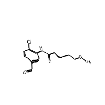 COCCCCC(=O)Nc1cc(C=O)ccc1Cl